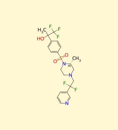 C[C@@H]1CN(CC(F)(F)c2cccnc2)CCN1S(=O)(=O)c1ccc(C(C)(O)C(F)(F)F)cc1